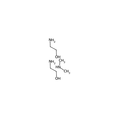 CNC.NCCO.NCCO